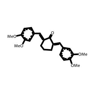 COc1ccc(/C=C2\CCC/C(=C\c3ccc(OC)c(OC)c3)C2=O)cc1OC